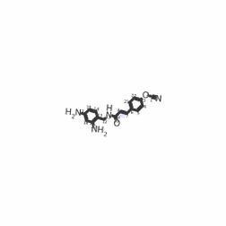 N#COc1ccc(/C=C/C(=O)NCc2ccc(N)cc2N)cc1